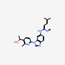 C=N/C(=C\C=C(C)C)Nc1ccc2ncn(-c3ccc(C(C)O)c(C)n3)c2c1